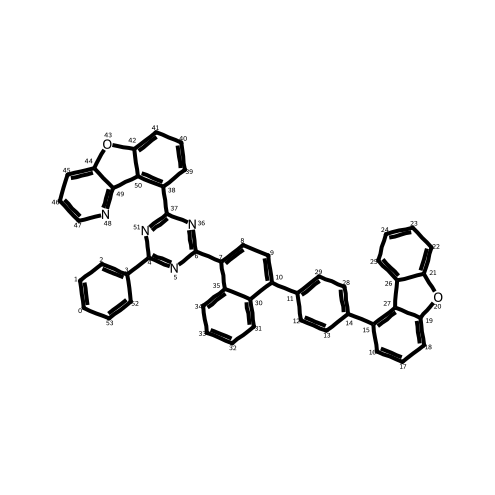 c1ccc(-c2nc(-c3ccc(-c4ccc(-c5cccc6oc7ccccc7c56)cc4)c4ccccc34)nc(-c3cccc4oc5cccnc5c34)n2)cc1